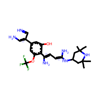 CC1(C)CC(N/C(N)=C/C=C(\N)c2c(O)cc(/C(C=N)=C/N)cc2OC(F)(F)F)CC(C)(C)N1